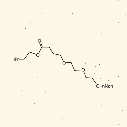 CCCCCCCCCOCCOCCOCCCC(=O)OCCC(C)C